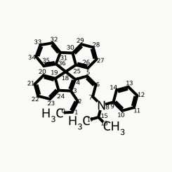 C/C=C\C1=C(/C=C\CN(c2ccccc2)C(C)C)C2(c3ccccc31)c1ccccc1-c1ccccc12